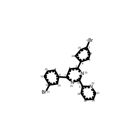 Brc1ccc(-c2cc(-c3cccc(Br)c3)nc(-c3ccccn3)n2)cc1